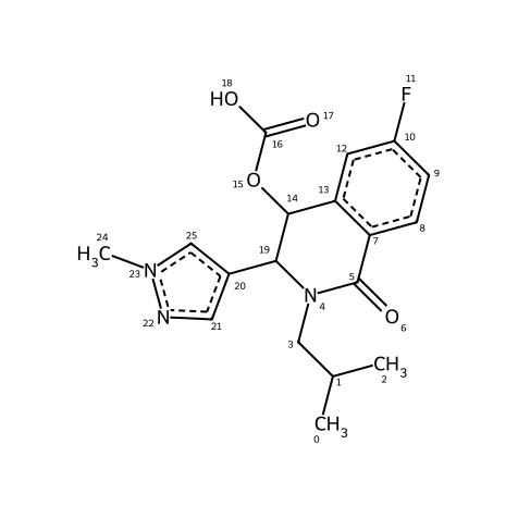 CC(C)CN1C(=O)c2ccc(F)cc2C(OC(=O)O)C1c1cnn(C)c1